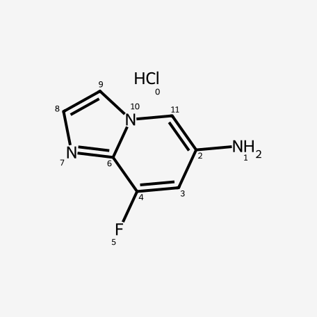 Cl.Nc1cc(F)c2nccn2c1